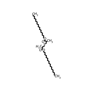 CCCCCCCCCCCCCCCCCCOC(=O)C(C)CSCC(C)C(=O)OCCCCCCCCCCCCCCCCCC